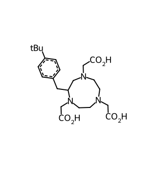 CC(C)(C)c1ccc(CC2CN(CC(=O)O)CCN(CC(=O)O)CCN2CC(=O)O)cc1